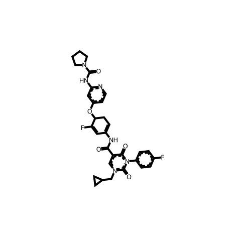 O=C(NC1=CCC(Oc2ccnc(NC(=O)N3CCCC3)c2)C(F)=C1)c1cn(CC2CC2)c(=O)n(-c2ccc(F)cc2)c1=O